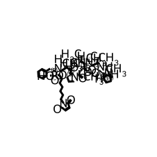 CC[C@H](C)[C@@H]([C@@H](CC(=O)N1CCC[C@H]1[C@H](OC)[C@@H](C)C(=O)N[C@@H](Cc1ccccc1)P(=O)(O)OCCCCCCN1C(=O)C=CC1=O)OC)N(C)C(=O)[C@@H](NC(=O)[C@@H]1[C@H]2CC[C@H](C2)N1C)C(C)C